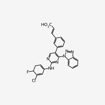 O=C(O)/C=C/c1cccc(-c2cnc(NC3=CCC(F)C(Cl)=C3)nc2-n2nnc3ccccc32)c1